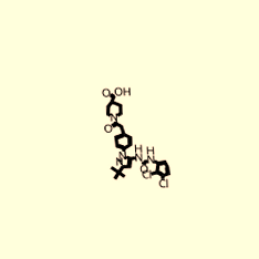 CC(C)(C)c1cc(NC(=O)Nc2cccc(Cl)c2Cl)n(-c2ccc(CC(=O)N3CCC(C(=O)O)CC3)cc2)n1